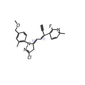 C#C/C(=C\C=C1/CC(Cl)=NN1c1ccc(COC)cc1C)c1ccc(C)nc1F